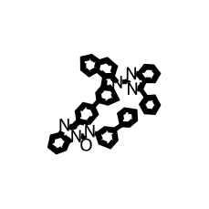 O=c1n(-c2cccc(-c3ccccc3)c2)c2cc(-c3ccc4c(c3)c3c5ccccc5ccc3n4-c3nc(-c4ccccc4)c4ccccc4n3)ccc2c2nc3ccccc3n12